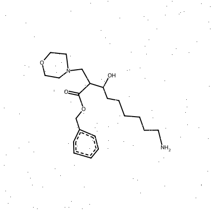 NCCCCCCC(O)C(CN1CCOCC1)C(=O)OCc1ccccc1